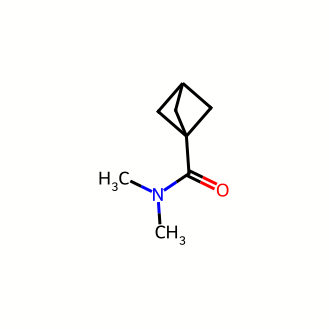 CN(C)C(=O)C12CC(C1)C2